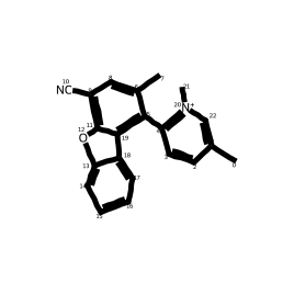 Cc1ccc(-c2c(C)cc(C#N)c3oc4ccccc4c23)[n+](C)c1